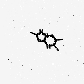 Cc1cc2nc(C)c(C)cn2n1